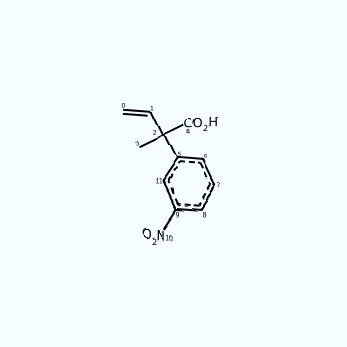 C=CC(C)(C(=O)O)c1cccc([N+](=O)[O-])c1